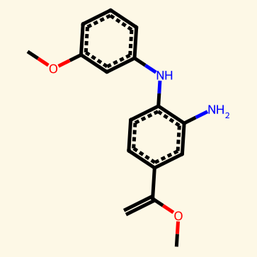 C=C(OC)c1ccc(Nc2cccc(OC)c2)c(N)c1